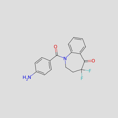 Nc1ccc(C(=O)N2CCC(F)(F)C(=O)c3ccccc32)cc1